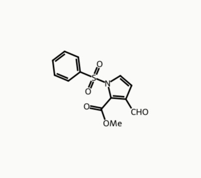 COC(=O)c1c(C=O)ccn1S(=O)(=O)c1ccccc1